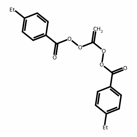 C=C(OOC(=O)c1ccc(CC)cc1)OOC(=O)c1ccc(CC)cc1